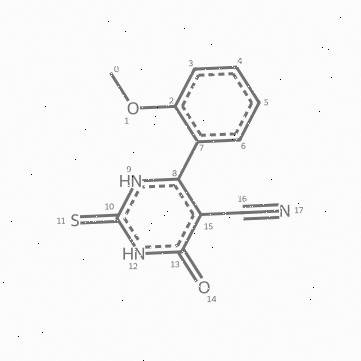 COc1ccccc1-c1[nH]c(=S)[nH]c(=O)c1C#N